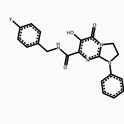 O=C(NCc1ccc(F)cc1)c1nc2n(c(=O)c1O)CCN2c1ccccc1